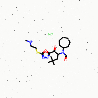 CNCCSc1nnc(C(=O)C(CC(C)(C)C)N(C=O)C2CCCCCC2)o1.Cl